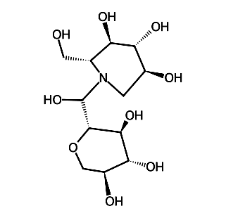 OC[C@@H]1[C@@H](O)[C@H](O)[C@@H](O)CN1C(O)[C@H]1OC[C@H](O)[C@@H](O)[C@@H]1O